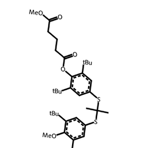 COC(=O)CCCC(=O)Oc1c(C(C)(C)C)cc(SC(C)(C)Sc2cc(C(C)(C)C)c(OC)c(C(C)(C)C)c2)cc1C(C)(C)C